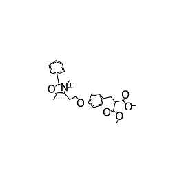 COC(=O)C(Cc1ccc(OCCC2=C(C)OC(c3ccccc3)[N+]2(C)C)cc1)C(=O)OC